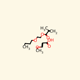 C=C(C)C(=O)OCCOCCCC.COC=CC(=O)O